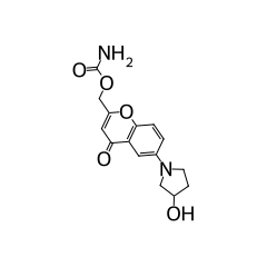 NC(=O)OCc1cc(=O)c2cc(N3CCC(O)C3)ccc2o1